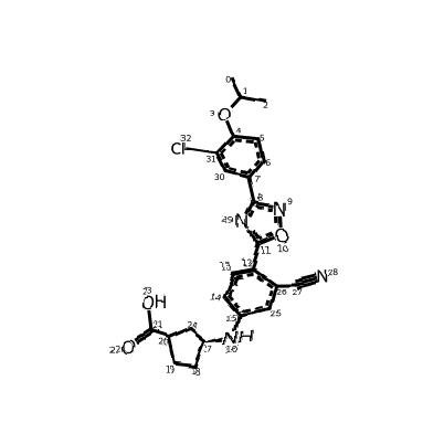 CC(C)Oc1ccc(-c2noc(-c3ccc(N[C@H]4CCC(C(=O)O)C4)cc3C#N)n2)cc1Cl